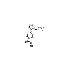 CCOC(=O)Cn1nncc1N1CCN(C(=O)OC(C)(C)C)CC1